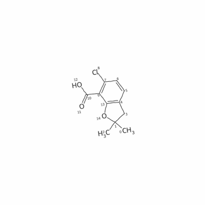 CC1(C)Cc2ccc(Cl)c(C(=O)O)c2O1